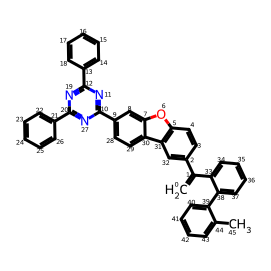 C=C(c1ccc2oc3cc(-c4nc(-c5ccccc5)nc(-c5ccccc5)n4)ccc3c2c1)c1ccccc1-c1ccccc1C